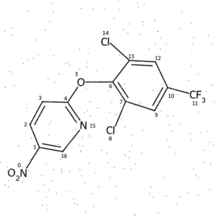 O=[N+]([O-])c1ccc(Oc2c(Cl)cc(C(F)(F)F)cc2Cl)nc1